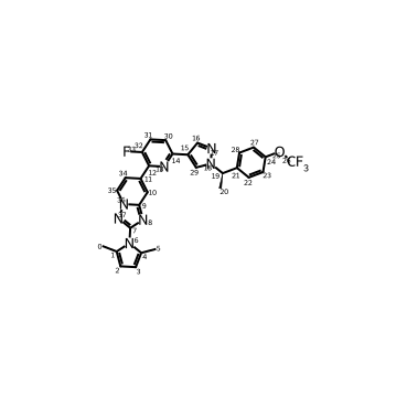 Cc1ccc(C)n1-c1nc2cc(-c3nc(-c4cnn([C@H](C)c5ccc(OC(F)(F)F)cc5)c4)ccc3F)ccn2n1